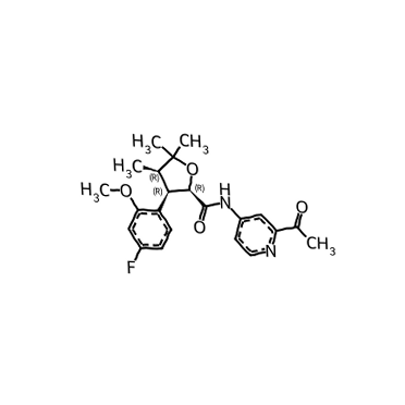 COc1cc(F)ccc1[C@H]1[C@@H](C)C(C)(C)O[C@H]1C(=O)Nc1ccnc(C(C)=O)c1